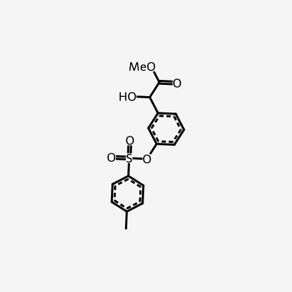 COC(=O)C(O)c1cccc(OS(=O)(=O)c2ccc(C)cc2)c1